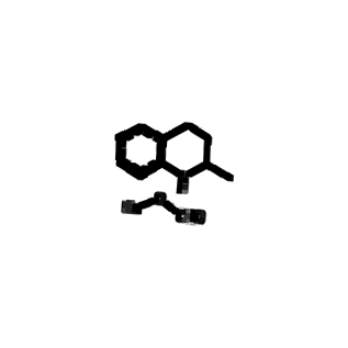 CC(C)(C)OC=O.CC1CCc2ccccc2N1